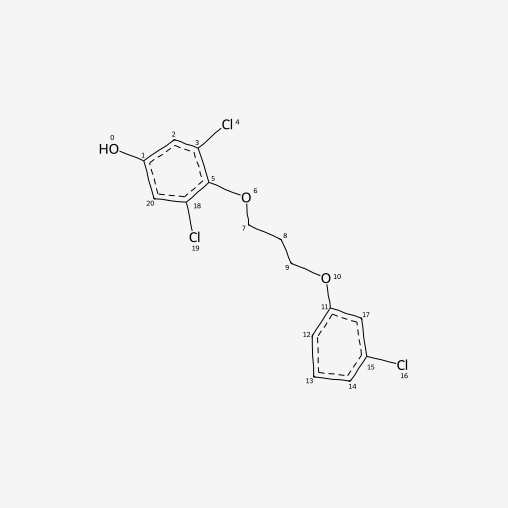 Oc1cc(Cl)c(OCCCOc2cccc(Cl)c2)c(Cl)c1